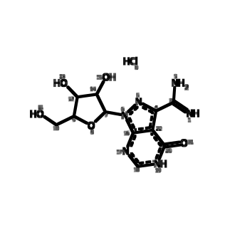 Cl.N=C(N)c1nn(C2OC(CO)C(O)C2O)c2nc[nH]c(=O)c12